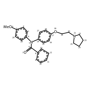 COc1ccc(N(C(=O)c2ccccc2)c2ccc(OCCN3CCCC3)cc2)cc1